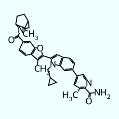 Cc1cc(-c2ccc3cc(-c4oc5cc(C(=O)N6CC7CCC6C7C)ccc5c4C)n(CC4CC4)c3c2)cnc1C(N)=O